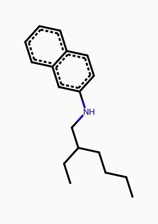 CCCCC(CC)CNc1ccc2ccccc2c1